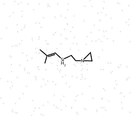 CC(C)=C[SiH2]CCN1CC1